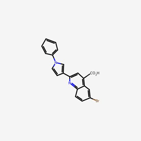 O=C(O)c1cc(-c2ccn(-c3ccccc3)c2)nc2ccc(Br)cc12